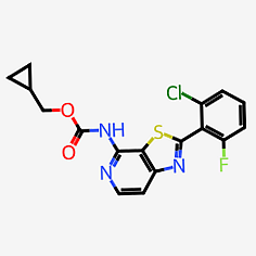 O=C(Nc1nccc2nc(-c3c(F)cccc3Cl)sc12)OCC1CC1